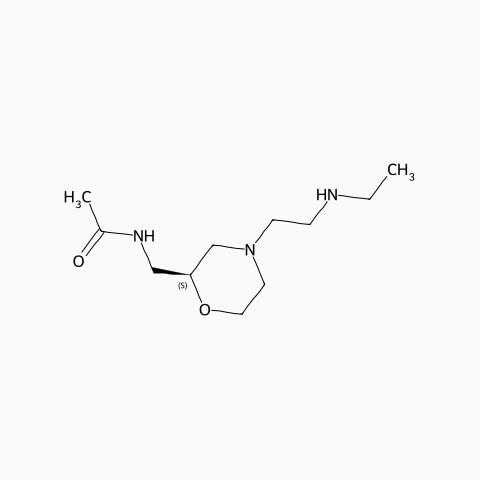 CCNCCN1CCO[C@@H](CNC(C)=O)C1